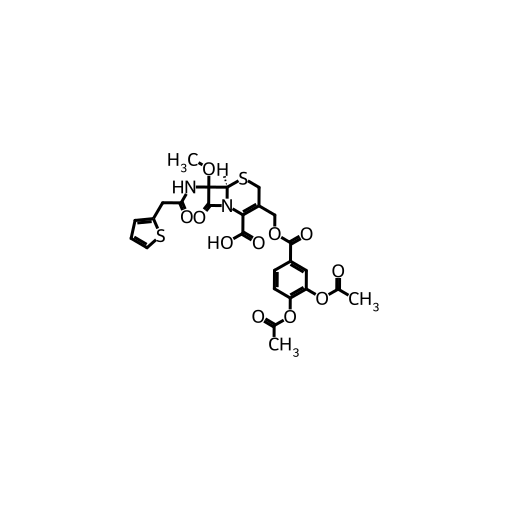 COC1(NC(=O)Cc2cccs2)C(=O)N2C(C(=O)O)=C(COC(=O)c3ccc(OC(C)=O)c(OC(C)=O)c3)CS[C@@H]21